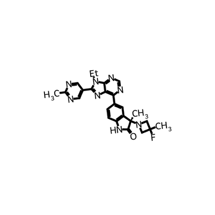 CCn1c(-c2cnc(C)nc2)nc2c(-c3ccc4c(c3)[C@](C)(N3CC(C)(F)C3)C(=O)N4)ncnc21